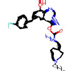 CN1CCC(CNC(=O)Oc2ncnc3c(O)cc(-c4ccc(F)cc4)cc23)CC1